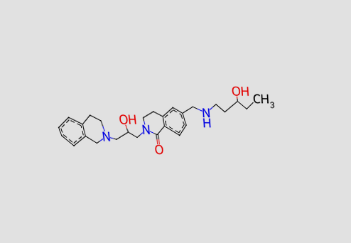 CCC(O)CCNCc1ccc2c(c1)CCN(CC(O)CN1CCc3ccccc3C1)C2=O